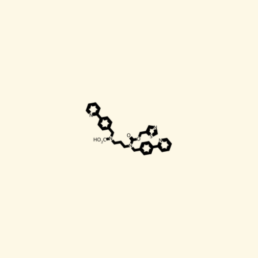 O=C(O)N(CCCN(Cc1ccc(-c2ccccn2)cc1)C(=O)OCc1cncs1)Cc1ccc(-c2ccccn2)cc1